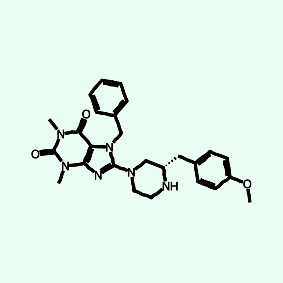 COc1ccc(C[C@H]2CN(c3nc4c(c(=O)n(C)c(=O)n4C)n3Cc3ccccc3)CCN2)cc1